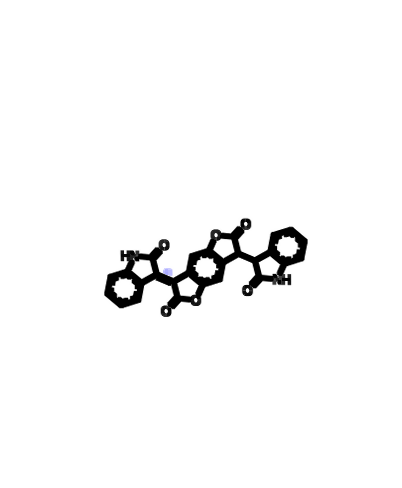 O=C1Nc2ccccc2/C1=C1\C(=O)Oc2cc3c(cc21)OC(=O)C3C1C(=O)Nc2ccccc21